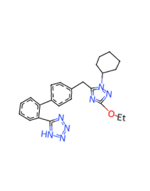 CCOc1nc(Cc2ccc(-c3ccccc3-c3nnn[nH]3)cc2)n(C2CCCCC2)n1